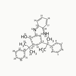 CC(C)(c1ccccc1)c1cc(/N=C2/C=CC=CC2=N)c(O)c(C(C)(C)c2ccccc2)c1